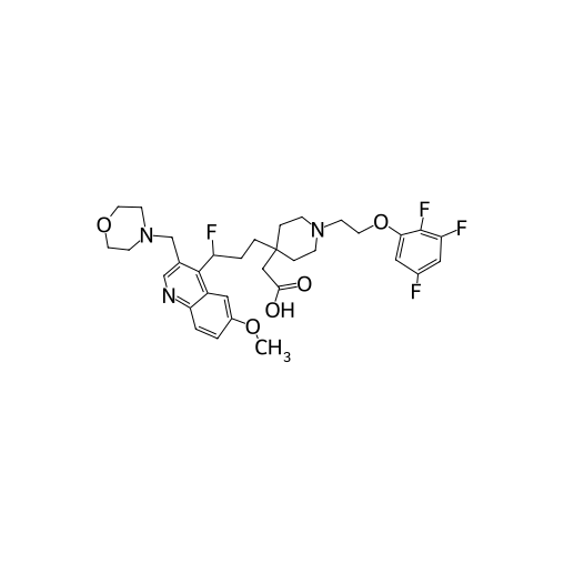 COc1ccc2ncc(CN3CCOCC3)c(C(F)CCC3(CC(=O)O)CCN(CCOc4cc(F)cc(F)c4F)CC3)c2c1